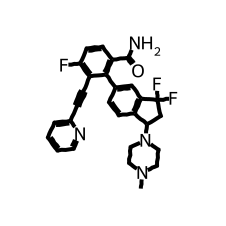 CN1CCN(C2CC(F)(F)c3cc(-c4c(C(N)=O)ccc(F)c4C#Cc4ccccn4)ccc32)CC1